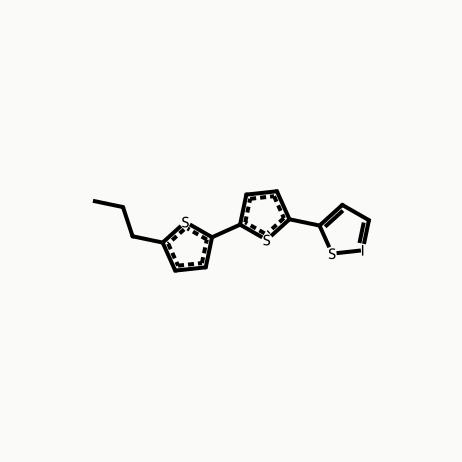 CCCc1ccc(-c2ccc(C3=CC=IS3)s2)s1